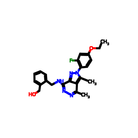 CCOc1ccc(-n2nc3c(NCc4ccccc4CO)nnc(C)c3c2C)c(F)c1